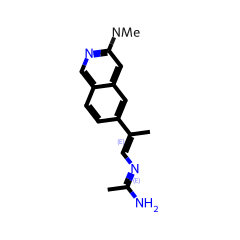 CNc1cc2cc(/C(C)=C/N=C(\C)N)ccc2cn1